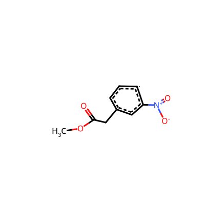 COC(=O)Cc1cc[c]c([N+](=O)[O-])c1